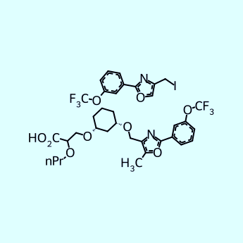 CCCOC(CO[C@@H]1CCC[C@H](OCc2nc(-c3cccc(OC(F)(F)F)c3)oc2C)C1)C(=O)O.FC(F)(F)Oc1cccc(-c2nc(CI)co2)c1